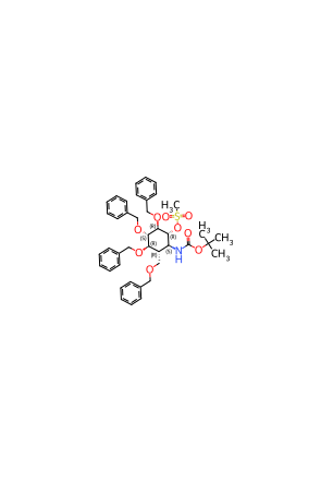 CC(C)(C)OC(=O)N[C@H]1[C@H](COCc2ccccc2)[C@@H](OCc2ccccc2)[C@H](OCc2ccccc2)[C@@H](OCc2ccccc2)[C@@H]1OS(C)(=O)=O